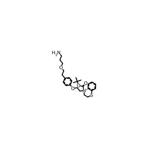 CC(C)(C)OC(=O)[N+]1(CCOc2ccc(CCOCCCN)cc2)CCSc2ccccc21